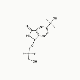 CC(C)(O)c1ccc2c(c1)C(=O)NC2OCC(F)(F)CO